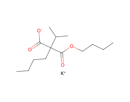 CCCCOC(=O)C(CCCC)(C(=O)[O-])C(C)C.[K+]